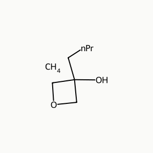 C.CCCCC1(O)COC1